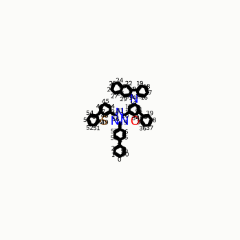 c1ccc(-c2ccc(-c3nc(-c4cc(-n5c6ccccc6c6cc7ccccc7cc65)cc5c4oc4ccccc45)nc(-c4cccc5c4sc4ccccc45)n3)cc2)cc1